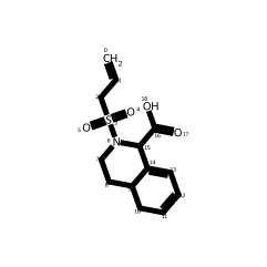 C=CCS(=O)(=O)N1CCC2CC=CC=C2C1C(=O)O